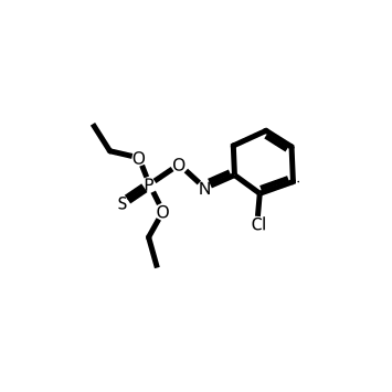 CCOP(=S)(OCC)ON=C1CC=C[C]=C1Cl